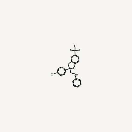 FC(F)(F)c1ccc2c(c1)CC(C[Se]c1ccccc1)(c1ccc(Cl)cc1)O2